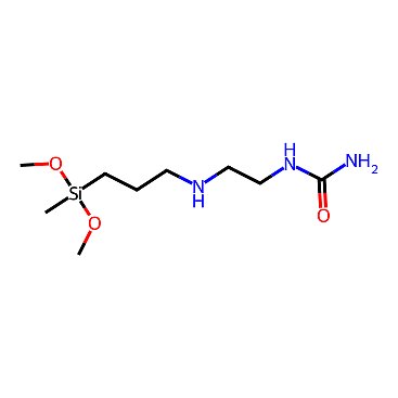 CO[Si](C)(CCCNCCNC(N)=O)OC